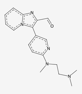 CN(C)CCN(C)c1ccc(-c2c(C=O)nc3ccccn23)cn1